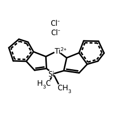 C[Si]1(C)C2=Cc3ccccc3[CH]2[Ti+2][CH]2C1=Cc1ccccc12.[Cl-].[Cl-]